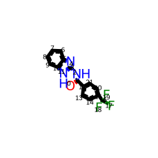 O=C(Nc1nc2ccccc2[nH]1)c1ccc(C(F)(F)F)cc1